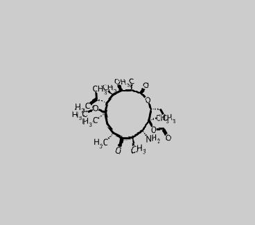 C=C(C)[C@@H]1[C@@H](C)C(=O)[C@@H](C)C(=O)O[C@H](CC)[C@@](C)(OC=O)[C@H](N)[C@@H](C)C(=O)[C@H](C)C[C@@]1(C)OC